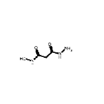 NNC(=O)CC(=O)NO